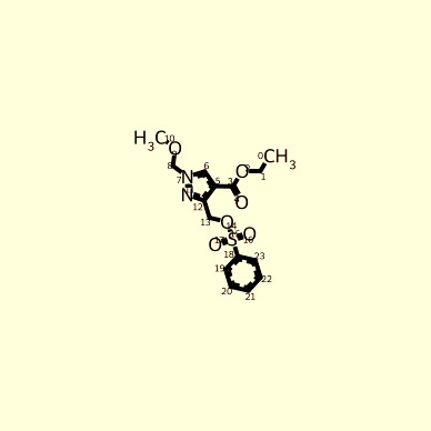 CCOC(=O)c1cn(COC)nc1COS(=O)(=O)c1ccccc1